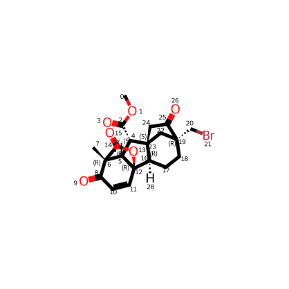 COC(=O)[C@H]1[C@@H]2[C@]3(C)C(=O)C=C[C@@]2(OC3=O)[C@@H]2CC[C@@]3(CBr)C[C@]21CC3=O